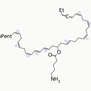 CCC=C=C/C=C\C/C=C\C/C=C\CC/C=C/CC(C/C=C/C=C/C=C\C/C=C\C/C=C\CCCCC)OC(=O)CCCCN